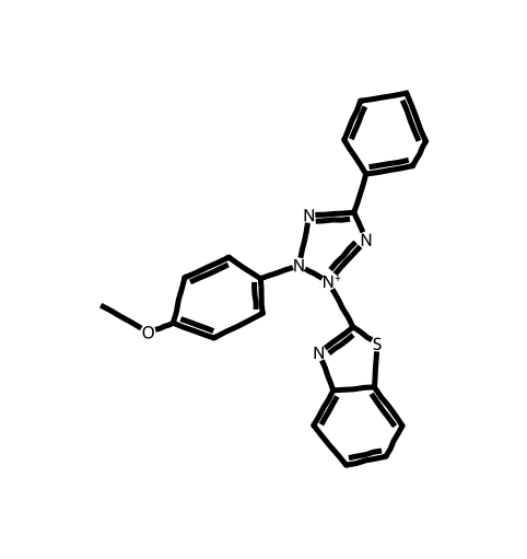 COc1ccc(-n2nc(-c3ccccc3)n[n+]2-c2nc3ccccc3s2)cc1